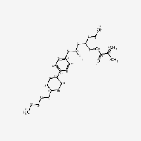 C=C(C)C(=O)OCC(CCO)CC(F)Cc1ccc(C2CCC(CCCCC)CC2)cc1